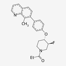 CCC(=O)N1CC[C@H](Oc2ccc(-c3ccc4cccnc4c3C)cc2)[C@@H](F)C1